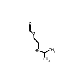 CC(C)NCCOC=O